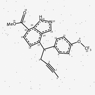 CC#CCC(c1ccc(OC(F)(F)F)cc1)c1ccc(C(=O)OC)c2[nH]ncc12